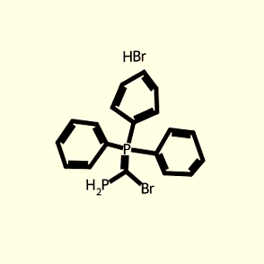 Br.PC(Br)=P(c1ccccc1)(c1ccccc1)c1ccccc1